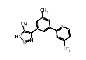 Cc1cc(-c2cc(C(F)(F)F)ccn2)cc(-c2nn[nH]c2C#N)c1